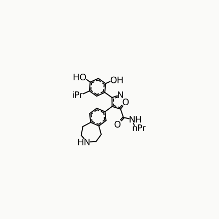 CCCNC(=O)c1onc(-c2cc(C(C)C)c(O)cc2O)c1-c1ccc2c(c1)CCNCC2